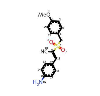 COc1ccc(CS(=O)(=O)/C(C#N)=C/c2ccc(N)cc2)cc1